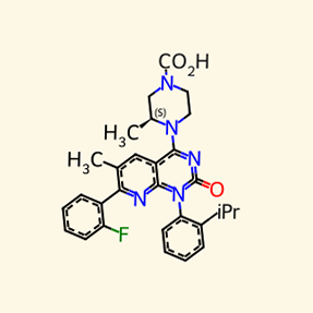 Cc1cc2c(N3CCN(C(=O)O)C[C@@H]3C)nc(=O)n(-c3ccccc3C(C)C)c2nc1-c1ccccc1F